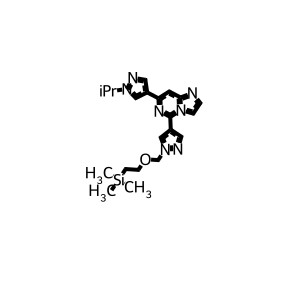 CC(C)n1cc(-c2cc3nccn3c(-c3cnn(COCC[Si](C)(C)C)c3)n2)cn1